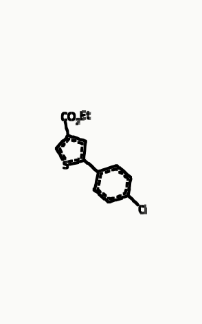 CCOC(=O)c1csc(-c2ccc(Cl)cc2)c1